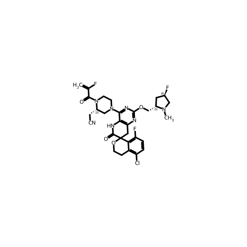 C=C(F)C(=O)N1CCN(c2nc(OC[C@@H]3C[C@@H](F)CN3C)nc3c2NC(=O)C2(C3)OCCc3c(Cl)ccc(F)c32)C[C@@H]1CC#N